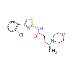 C=C(CCC(=O)Nc1nc(-c2ccccc2Cl)cs1)N1CCOCC1